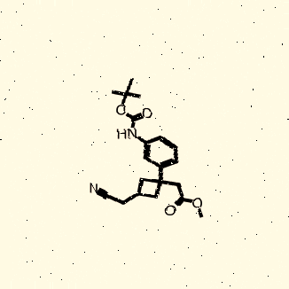 COC(=O)CC1(c2cccc(NC(=O)OC(C)(C)C)c2)CC(CC#N)C1